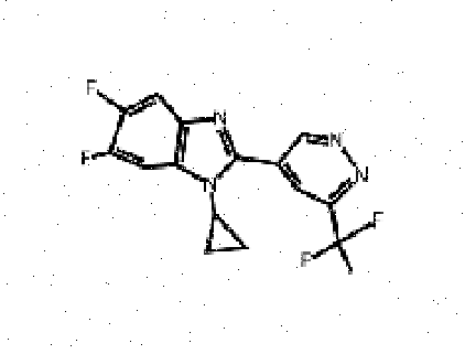 CC(F)(F)c1cc(-c2nc3cc(F)c(F)cc3n2C2CC2)cnn1